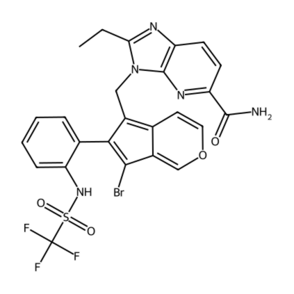 CCc1nc2ccc(C(N)=O)nc2n1Cc1c2ccocc-2c(Br)c1-c1ccccc1NS(=O)(=O)C(F)(F)F